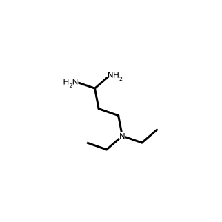 CCN(CC)CCC(N)N